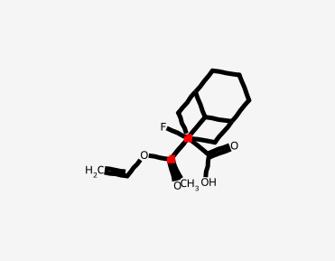 C=COC(=O)N1CC2CCCC(C1)C2C(F)(CC)C(=O)O